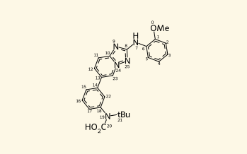 COc1ccccc1Nc1nc2ccc(-c3cccc(N(C(=O)O)C(C)(C)C)c3)cn2n1